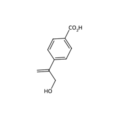 C=C(CO)c1ccc(C(=O)O)cc1